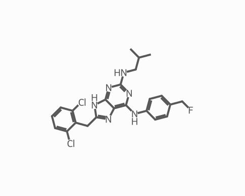 CC(C)CNc1nc(Nc2ccc(CF)cc2)c2nc(Cc3c(Cl)cccc3Cl)[nH]c2n1